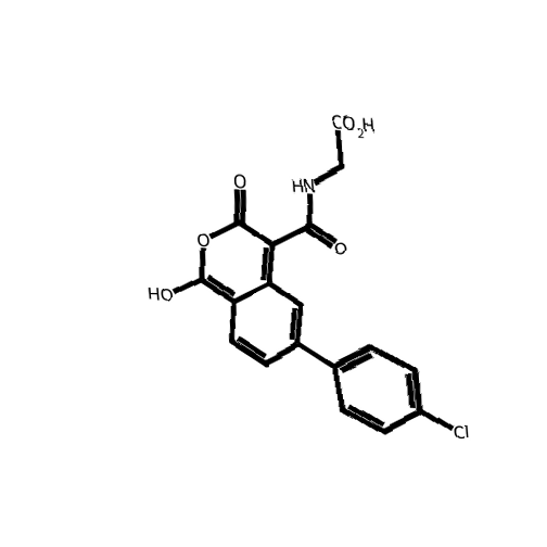 O=C(O)CNC(=O)c1c(=O)oc(O)c2ccc(-c3ccc(Cl)cc3)cc12